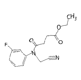 CCOC(=O)CCC(=O)N(CC#N)c1cccc(F)c1